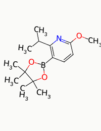 COc1ccc(B2OC(C)(C)C(C)(C)O2)c(C(C)C)n1